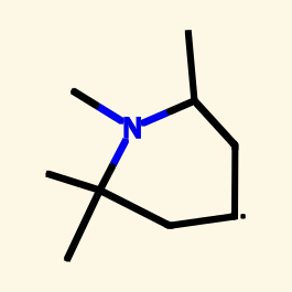 CC1C[CH]CC(C)(C)N1C